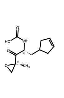 C[C@]1(C(=O)[C@@H](CC2CC=CC2)NC(=O)O)CO1